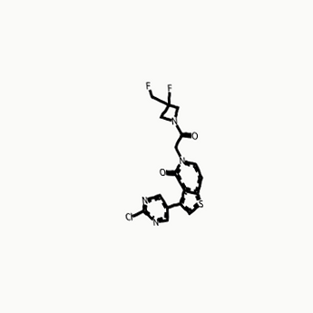 O=C(Cn1ccc2scc(-c3cnc(Cl)nc3)c2c1=O)N1CC(F)(CF)C1